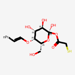 CCCC=CO[C@@H]1[C@H](O)[C@@H](O)[C@@](O)(OC(=O)CS)O[C@@H]1CO